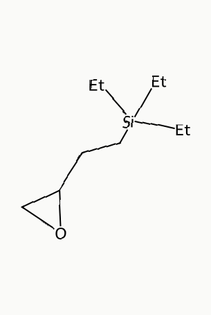 CC[Si](CC)(CC)CCC1CO1